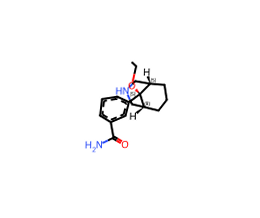 CCO[C@]1(c2cccc(C(N)=O)c2)[C@@H]2CCC[C@H]1CNC2